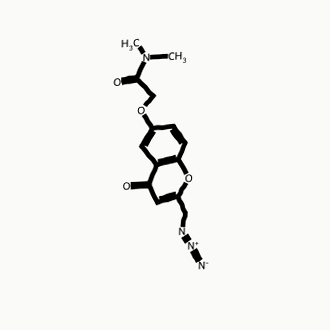 CN(C)C(=O)COc1ccc2oc(CN=[N+]=[N-])cc(=O)c2c1